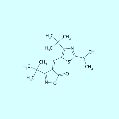 CN(C)c1nc(C(C)(C)C)c(C=C2C(=O)ON=C2C(C)(C)C)s1